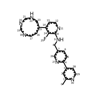 Cc1cc(-c2ccc(CNc3nccc(-c4ccncnc[nH]c4)c3F)cn2)ccn1